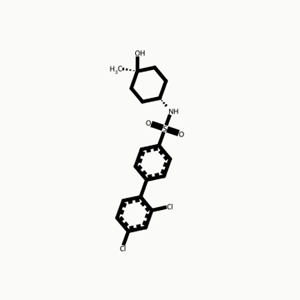 C[C@]1(O)CC[C@H](NS(=O)(=O)c2ccc(-c3ccc(Cl)cc3Cl)cc2)CC1